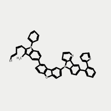 CC/C=C/C=C\c1c(C)c2cc(-c3ccc4oc5ccc(-n6c7ccc(-c8ccccc8-c8bcccc8)cc7c7ncccc76)cc5c4c3)ccc2n1-c1ccccc1